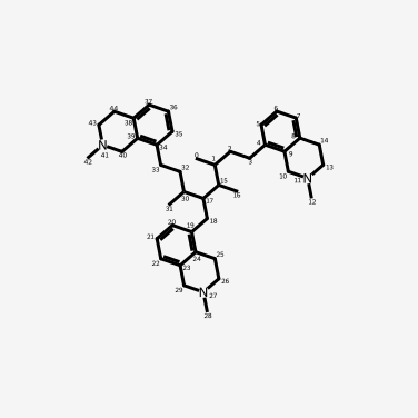 CC(CCc1cccc2c1CN(C)CC2)C(C)C(Cc1cccc2c1CCN(C)C2)C(C)CCc1cccc2c1CN(C)CC2